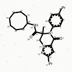 CC(C)c1ccc(N2C(=O)c3cc(C(C)C)nn3CC2(C)C(=O)NC2CCCCCCC2)cc1